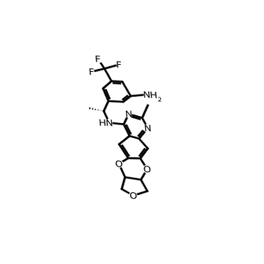 Cc1nc(N[C@H](C)c2cc(N)cc(C(F)(F)F)c2)c2cc3c(cc2n1)OC1COCC1O3